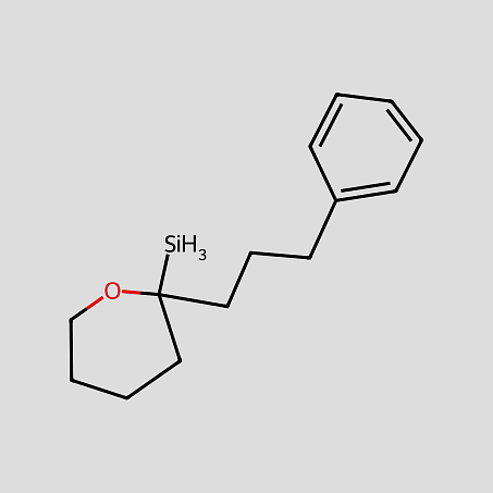 [SiH3]C1(CCCc2ccccc2)CCCCO1